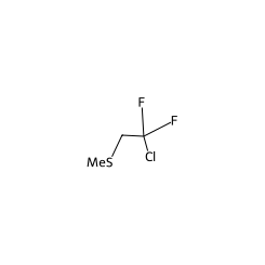 [CH2]SCC(F)(F)Cl